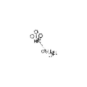 CCN1CCC[C@H](CNC(=O)CCCCCNC(=O)CC(c2ccccc2)(c2ccccc2)c2ccccc2)C1